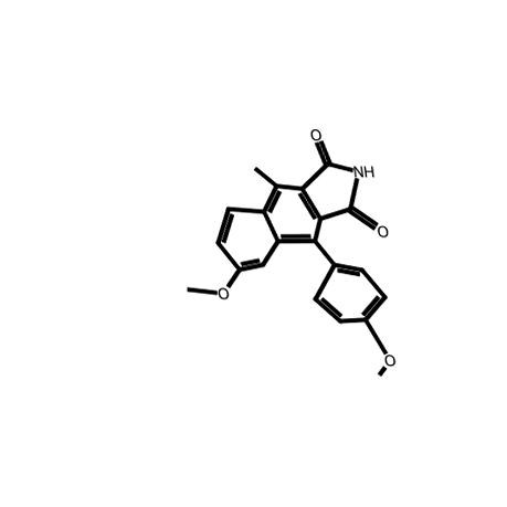 COc1ccc(-c2c3c(c(C)c4ccc(OC)cc24)C(=O)NC3=O)cc1